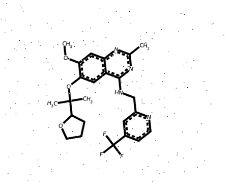 COc1cc2nc(C)nc(NCc3cc(C(F)(F)F)ccn3)c2cc1OC(C)(C)C1CCCO1